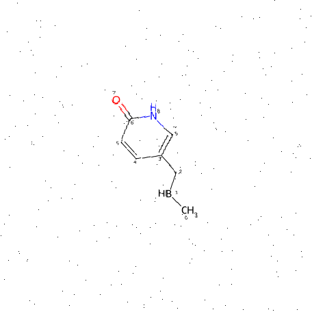 CBCc1ccc(=O)[nH]c1